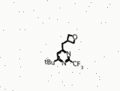 CC(C)(C)c1cc(CC2COC2)nc(C(F)(F)F)n1